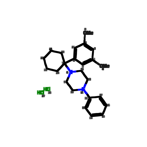 COc1cc(OC)cc(C2(N3CCN(c4ccccc4)CC3)CCCCC2)c1.Cl.Cl